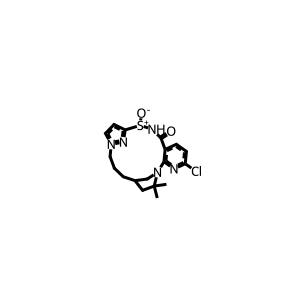 CC1(C)CC2CCCn3ccc(n3)[S+]([O-])NC(=O)c3ccc(Cl)nc3N1C2